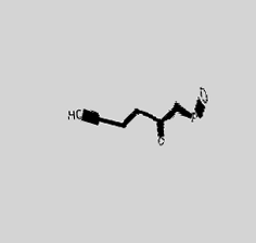 C#CCCC(=O)CP=O